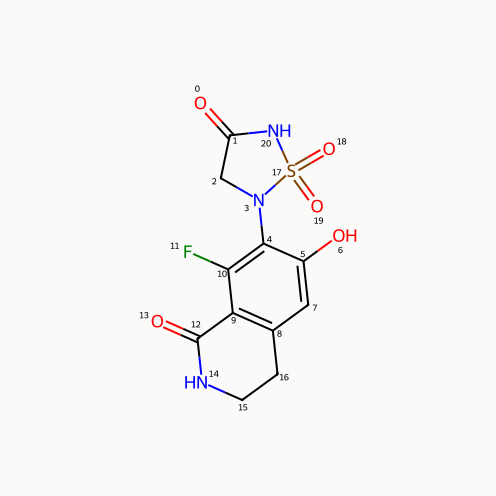 O=C1CN(c2c(O)cc3c(c2F)C(=O)NCC3)S(=O)(=O)N1